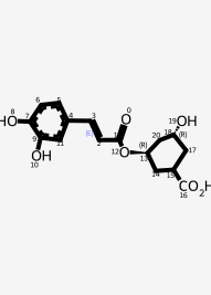 O=C(/C=C/c1ccc(O)c(O)c1)O[C@@H]1CC(C(=O)O)C[C@@H](O)C1